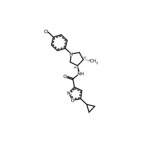 C[C@H]1CN(c2ccc(Cl)cc2)C[C@@H]1NC(=O)c1cc(C2CC2)on1